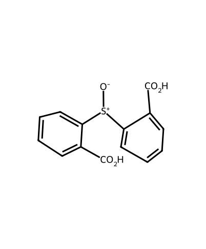 O=C(O)c1ccccc1[S+]([O-])c1ccccc1C(=O)O